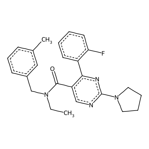 CCN(Cc1cccc(C)c1)C(=O)c1cnc(N2CCCC2)nc1-c1ccccc1F